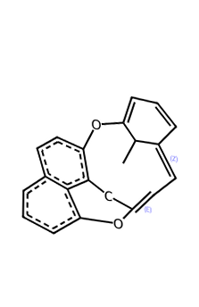 CC1C2=CC=C/C1=C/C=C1\Cc3c(ccc4cccc(c34)O1)O2